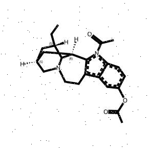 CC[C@H]1C[C@H]2C[C@H]3c4c(c5cc(OC(C)=O)ccc5n4C(C)=O)CCN(C2)C13